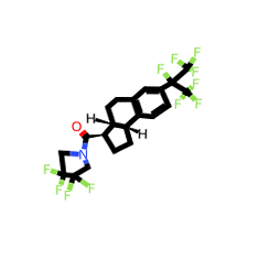 O=C([C@@H]1CC[C@H]2c3ccc(C(F)(C(F)(F)F)C(F)(F)F)cc3CC[C@@H]12)N1CC(F)(F)C(F)(F)C1